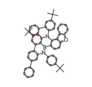 CC(C)(C)c1ccc(N2B3c4ccc5oc6ccccc6c5c4N(c4ccc(C(C)(C)C)cc4-c4ccccc4)c4cc(C(C)(C)C)cc(c43)-c3ccc(-c4ccccc4)cc32)cc1